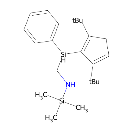 CC(C)(C)C1=CCC(C(C)(C)C)=C1[SiH](CN[Si](C)(C)C)c1ccccc1